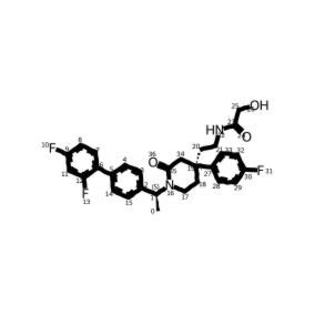 C[C@@H](c1ccc(-c2ccc(F)cc2F)cc1)N1CC[C@](CCNC(=O)CO)(c2ccc(F)cc2)CC1=O